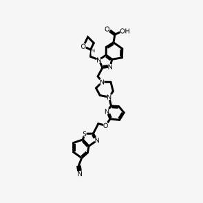 N#Cc1ccc2sc(COc3cccc(N4CCN(Cc5nc6ccc(C(=O)O)cc6n5C[C@@H]5CCO5)CC4)n3)nc2c1